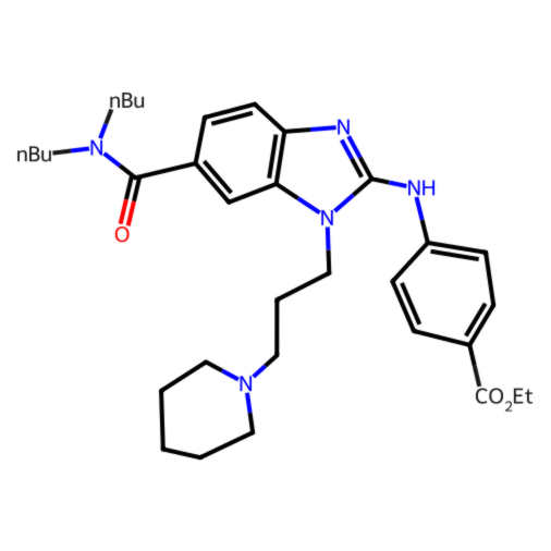 CCCCN(CCCC)C(=O)c1ccc2nc(Nc3ccc(C(=O)OCC)cc3)n(CCCN3CCCCC3)c2c1